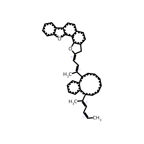 C/C=C\C=C(/C)c1ccccccc(/C(C)=C/C=C2\Cc3ccc4ccc5c6ccccc6oc5c4c3O2)c2ccccc12